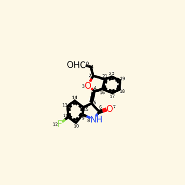 O=CCC1O/C(=C2/C(=O)Nc3cc(F)ccc32)c2ccccc21